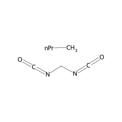 CCCC.O=C=NCN=C=O